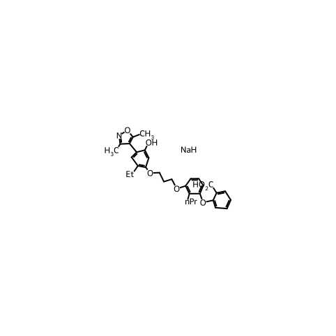 CCCc1c(OCCCOc2cc(O)c(-c3c(C)noc3C)cc2CC)cccc1Oc1ccccc1C(=O)O.[NaH]